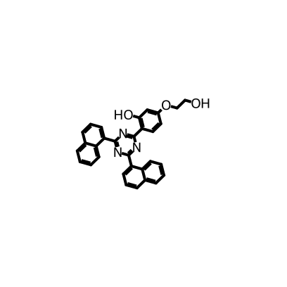 OCCOc1ccc(-c2nc(-c3cccc4ccccc34)nc(-c3cccc4ccccc34)n2)c(O)c1